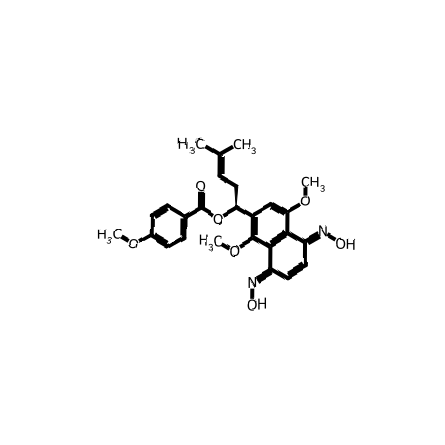 COc1ccc(C(=O)O[C@@H](CC=C(C)C)c2cc(OC)c3c(c2OC)C(=NO)C=CC3=NO)cc1